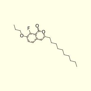 CCCCCCCCCCc1cc2ccc(OCCC)c(F)c2c(=O)o1